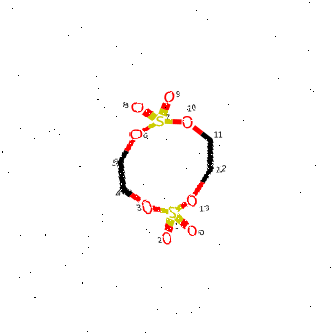 O=S1(=O)OCCOS(=O)(=O)OCCO1